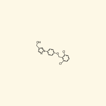 OCc1cnn(-c2ccc(OCc3c(Cl)cccc3Cl)cc2)c1